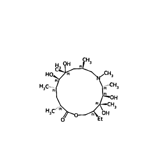 CC[C@H]1COC(=O)[C@H](C)C[C@H](C)[C@@H](O)[C@](C)(O)C[C@@H](C)CN(C)[C@H](C)[C@@H](O)[C@]1(C)O